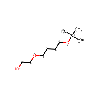 CC(C)(C)[Si](C)(C)OCCCCOCCO